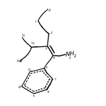 CCC/C(=C(\N)c1ccccc1)C(C)C